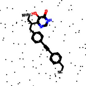 CC(=O)NCC(Cc1ccc(C#Cc2ccc(CC#N)cc2)cc1)c1nc[nH]c(=O)c1O